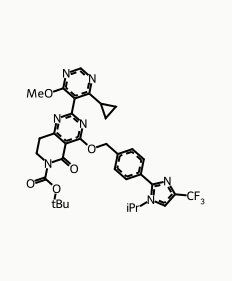 COc1ncnc(C2CC2)c1-c1nc2c(c(OCc3ccc(-c4nc(C(F)(F)F)cn4C(C)C)cc3)n1)C(=O)N(C(=O)OC(C)(C)C)CC2